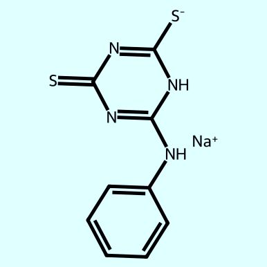 S=c1nc([S-])[nH]c(Nc2ccccc2)n1.[Na+]